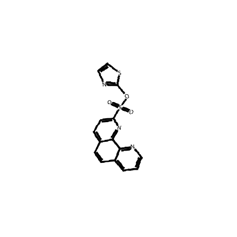 O=S(=O)(Oc1nccs1)c1ccc2ccc3cccnc3c2n1